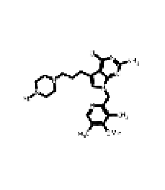 CCN1CCN(CCCc2cn(Cc3ncc(C)c(OC)c3C)c3nc(N)nc(Cl)c23)CC1